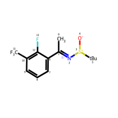 C/C(=N\[S+]([O-])C(C)(C)C)c1cccc(C(F)(F)F)c1F